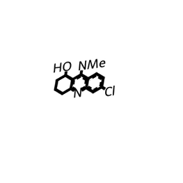 CNc1c2c(nc3cc(Cl)ccc13)CCCC2O